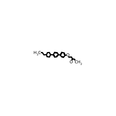 C=CC(=O)CCOc1ccc(-c2ccc(C3CCC(CCC)CC3)cc2)cc1